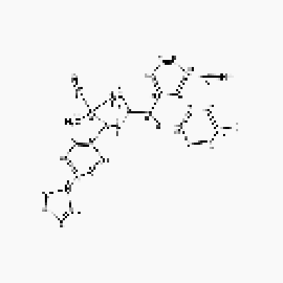 CC(NC(c1ccc(-n2cccn2)cc1)C(C)(C)C#N)C(Cc1ccc(Cl)cc1)c1cccc(C#N)c1